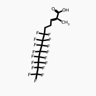 C/C(=C\CCC(F)(F)C(F)(F)C(F)(F)C(F)(F)C(F)(F)C(F)(F)C(F)(F)C(F)(F)F)C(=O)O